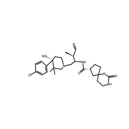 C[C@@H](C=O)C(CN1CC[C@](O)(c2ccc(Cl)cc2)C(C)(C)C1)NC(=O)[C@@H]1CCC2(CCNC(=O)O2)C1